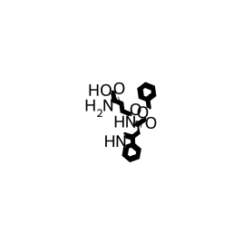 N[C@H](CCC(=O)N[C@H](Cc1c[nH]c2ccccc12)C(=O)OCc1ccccc1)C(=O)O